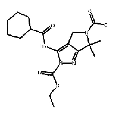 CCOC(=O)n1nc2c(c1NC(=O)C1CCCCC1)CN(C(=O)Cl)C2(C)C